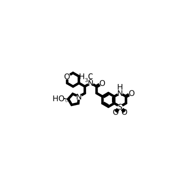 CN(C(=O)Cc1ccc2c(c1)NC(=O)CS2(=O)=O)C(CN1CC[C@H](O)C1)C1CCOCC1